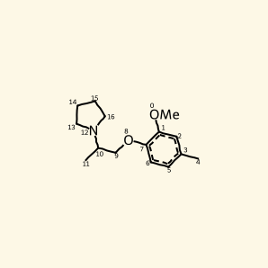 COc1cc(C)ccc1OCC(C)N1CCCC1